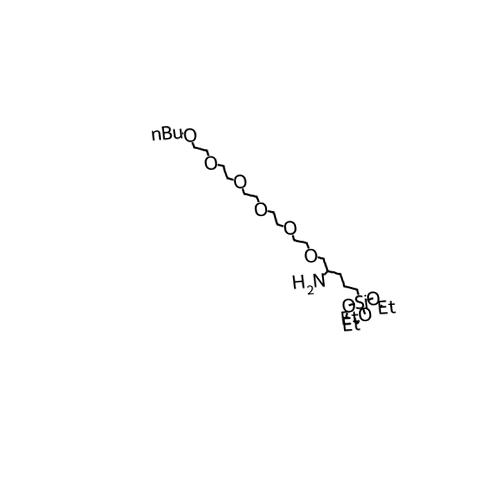 CCCCOCCOCCOCCOCCOCCOCC(N)CCC[Si](OCC)(OCC)OCC